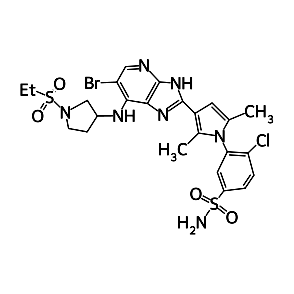 CCS(=O)(=O)N1CCC(Nc2c(Br)cnc3[nH]c(-c4cc(C)n(-c5cc(S(N)(=O)=O)ccc5Cl)c4C)nc23)C1